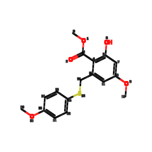 COC(=O)c1c(O)cc(OC)cc1CSc1ccc(OC)cc1